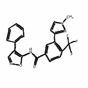 Cn1ccc(-c2cc(C(=O)Nc3oncc3-c3ccccc3)ccc2C(F)(F)F)n1